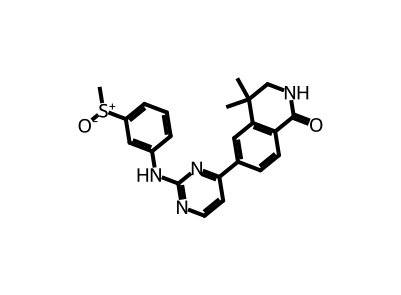 C[S+]([O-])c1cccc(Nc2nccc(-c3ccc4c(c3)C(C)(C)CNC4=O)n2)c1